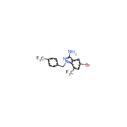 Nc1nn(Cc2ccc(C(F)(F)F)cc2)c2c(C(F)(F)F)cc(Br)cc12